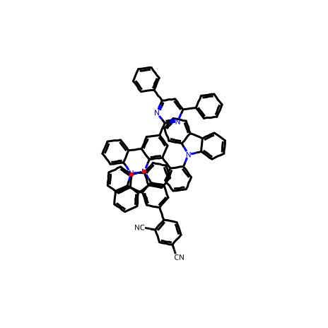 N#Cc1ccc(-c2ccc3c(c2)c2ccccc2n3-c2c(-c3ccccc3-n3c4ccccc4c4ccccc43)cc(-c3nc(-c4ccccc4)cc(-c4ccccc4)n3)cc2-c2ccccc2-n2c3ccccc3c3ccccc32)c(C#N)c1